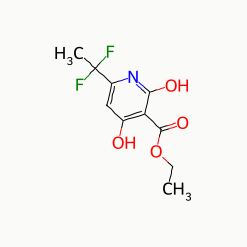 CCOC(=O)c1c(O)cc(C(C)(F)F)nc1O